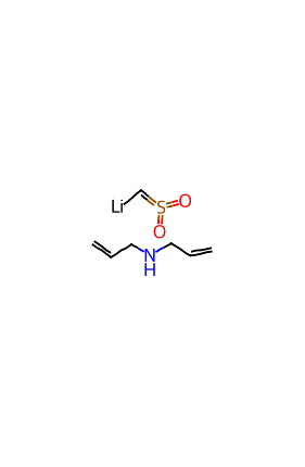 C=CCNCC=C.[Li][CH]=S(=O)=O